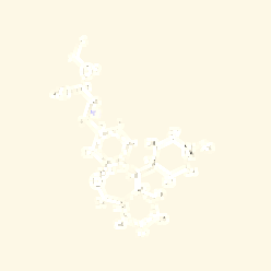 CCOC(=O)/C=C/c1ccc2c(c1)OCc1ccccc1C2=C1CCN(C)CC1